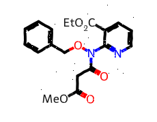 CCOC(=O)c1cccnc1N(OCc1ccccc1)C(=O)CC(=O)OC